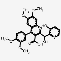 COc1ccc(-c2c(C(=O)O)c(C(S)c3ncccc3O)nc3cc(OC)c(OC)cc23)cc1OC